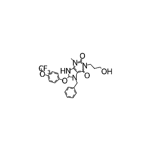 Cn1c2c(c(=O)n(CCCO)c1=O)N(Cc1ccccc1)C(Oc1ccc(OC(F)(F)F)cc1)N2